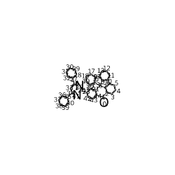 O=C1c2ccccc2C(c2ccccc2)(c2ccccc2)c2cc(-c3nc(-c4ccccc4)cc(-c4ccccc4)n3)ccc21